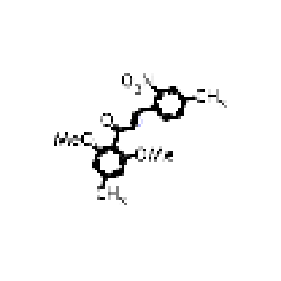 COc1cc(C)cc(OC)c1C(=O)/C=C/c1ccc(C)cc1[N+](=O)[O-]